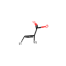 CC/C=C(\CC)C([O])=O